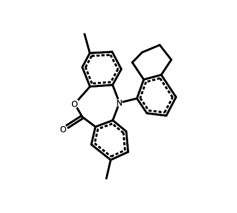 Cc1ccc2c(c1)OC(=O)c1cc(C)ccc1N2c1cccc2c1CCCC2